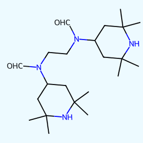 CC1(C)CC(N(C=O)CCN(C=O)C2CC(C)(C)NC(C)(C)C2)CC(C)(C)N1